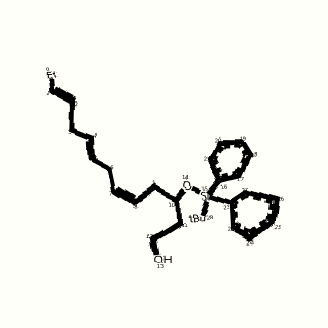 CCC=CCC=CC/C=C\CC(CCO)O[Si](c1ccccc1)(c1ccccc1)C(C)(C)C